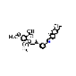 COc1ccc(O[C@H](CC2CC2c2cccc(/C=C/c3ccc4cc(F)c(Cl)cc4n3)c2)OC)c(C(=O)O)c1